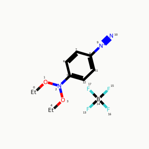 CCON(OCC)c1ccc([N+]#N)cc1.F[B-](F)(F)F